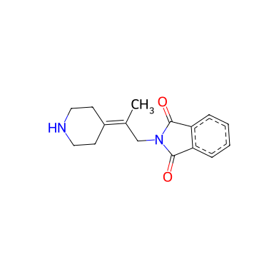 CC(CN1C(=O)c2ccccc2C1=O)=C1CCNCC1